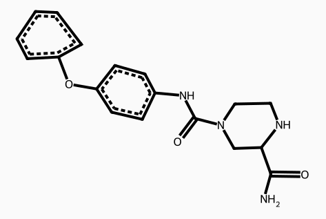 NC(=O)C1CN(C(=O)Nc2ccc(Oc3ccccc3)cc2)CCN1